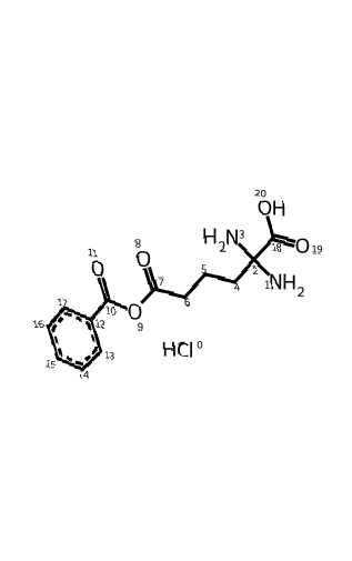 Cl.NC(N)(CCCC(=O)OC(=O)c1ccccc1)C(=O)O